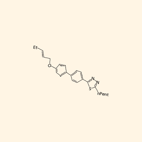 CC/C=C/COc1ccc(-c2ccc(-c3nnc(CCCCC)s3)cc2)cc1